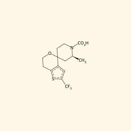 C[C@H]1CC2(CCN1C(=O)O)OCCc1sc(C(F)(F)F)cc12